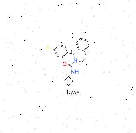 CN[C@H]1C[C@](C)(NC(=O)N2CCc3ccccc3[C@@H]2c2ccc(F)cc2)C1